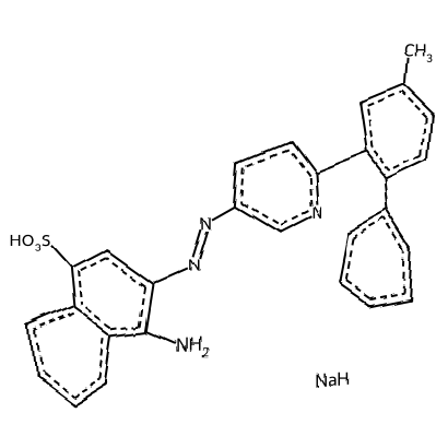 Cc1ccc(-c2ccccc2)c(-c2ccc(/N=N/c3cc(S(=O)(=O)O)c4ccccc4c3N)cn2)c1.[NaH]